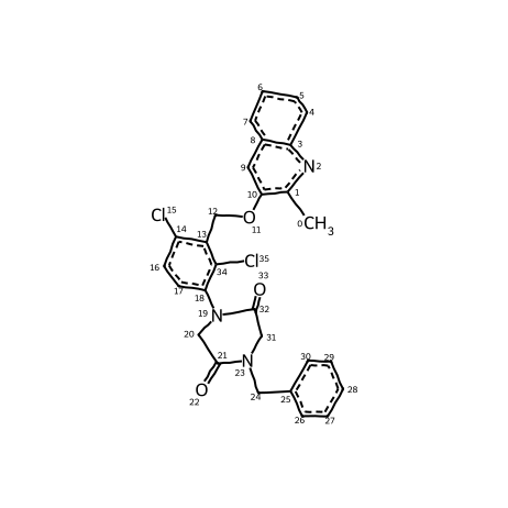 Cc1nc2ccccc2cc1OCc1c(Cl)ccc(N2CC(=O)N(Cc3ccccc3)CC2=O)c1Cl